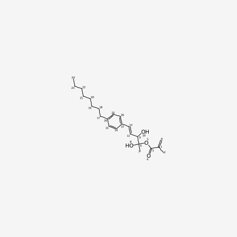 C=C(C)C(=O)OC(C)(O)C(O)C=Cc1ccc(CCCCCCCC)cc1